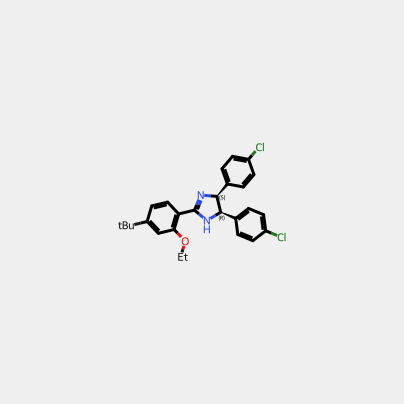 CCOc1cc(C(C)(C)C)ccc1C1=N[C@@H](c2ccc(Cl)cc2)[C@@H](c2ccc(Cl)cc2)N1